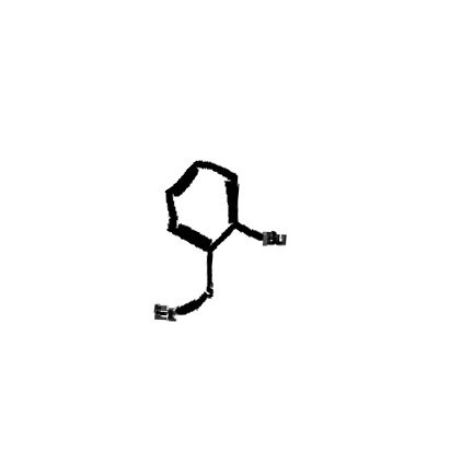 CCSc1ccccc1C(C)CC